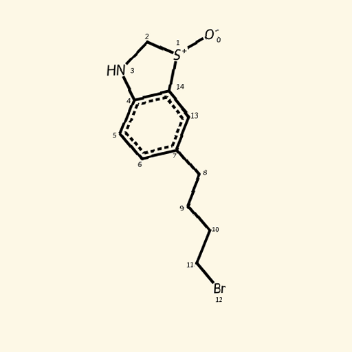 [O-][S+]1CNc2ccc(CCCCBr)cc21